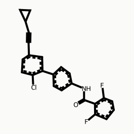 O=C(Nc1ccc(-c2cc(C#CC3CC3)ccc2Cl)cc1)c1c(F)cccc1F